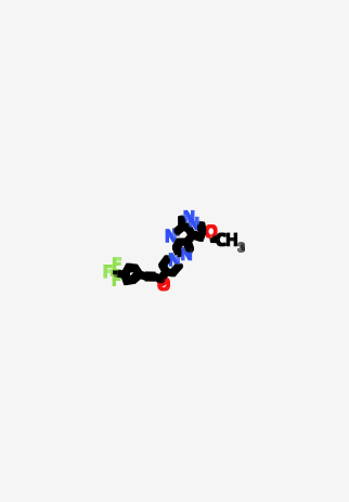 CCOc1cc(-c2ccc(N3CCC(C(=O)C#Cc4ccc(C(F)(F)F)cc4)CC3)nc2)c2c(C#N)cnn2c1